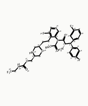 COC(=O)N(C(=O)[C@@H](N)[C@H](c1ccc(F)cc1)c1cccc(F)c1)c1cncc(F)c1CC[C@@H]1CN[C@H](COC(=O)NCC(F)(F)F)CO1